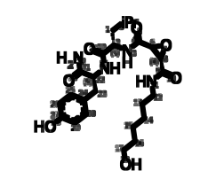 CC(C)C[C@H](NC(=O)C1O[C@H]1C(=O)NCCCCCCO)C(=O)N[C@@H](Cc1ccc(O)cc1)C(N)=O